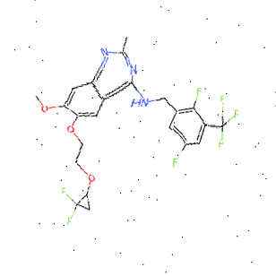 COc1cc2nc(C)nc(NCc3cc(F)cc(C(F)(F)F)c3F)c2cc1OCCOC1CC1(F)F